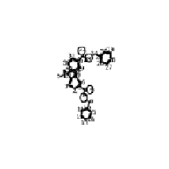 Cn1c2ccc(C(=O)OCc3ccccc3)cc2c2cc(C(=O)OCc3ccccc3)ccc21